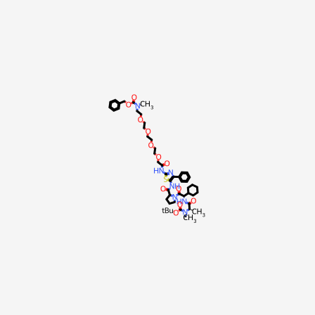 C[C@@H](C(=O)N[C@H](C(=O)N1CCCC1C(=O)Nc1sc(NC(=O)COCCOCCOCCOCCN(C)C(=O)OCc2ccccc2)nc1-c1ccccc1)C1CCCCC1)N(C)C(=O)OC(C)(C)C